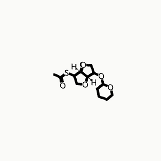 CC(=O)SC1CO[C@@H]2C(OC3CCCCO3)CO[C@H]12